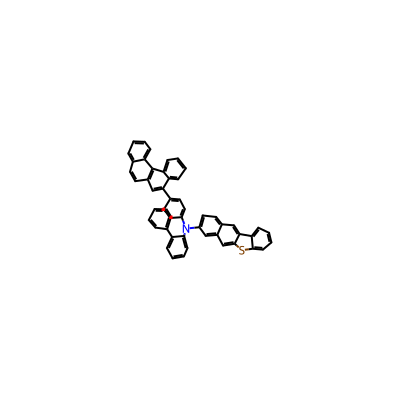 c1ccc(-c2ccccc2N(c2ccc(-c3cc4ccc5ccccc5c4c4ccccc34)cc2)c2ccc3cc4c(cc3c2)sc2ccccc24)cc1